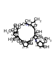 C=CC[C@H]1/C=C(\C)CCC[C@H](OC)[C@H]2O[C@@](O)(C(=O)C(=O)N3CCCC[C@H]3C(=O)O[C@H](/C(C)=C/[C@@H]3CC[C@@H](O)[C@H](OC)C3)[C@H](C)[C@@H](O)CC1=O)[C@H](C)C[C@@H]2OC